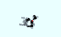 C#CCOc1cc(-n2nc3n(c2=O)CCCC3)c(Cl)cc1Cl.CCOc1nc(NC)nc(NC(=O)NS(=O)(=O)c2ccccc2C(=O)O)n1.O=C(O)COc1ccc(Cl)c2cccnc12